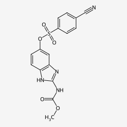 COC(=O)Nc1nc2cc(OS(=O)(=O)c3ccc(C#N)cc3)ccc2[nH]1